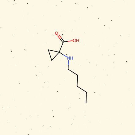 CCCCCNC1(C(=O)O)CC1